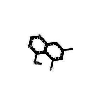 CNc1ncnc2cc(C)cc(F)c12